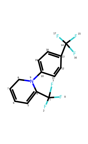 FC(F)(F)C1=CC=CCN1c1ccc(C(F)(F)F)cc1